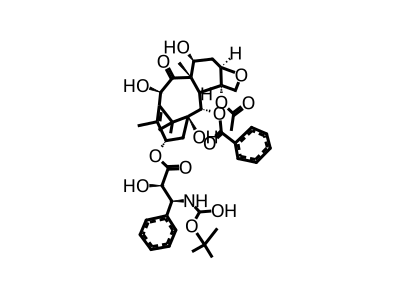 CC(=O)O[C@@]12CO[C@@H]1C[C@H](O)[C@@]1(C)C(=O)[C@H](O)C3=C(C)[C@@H](OC(=O)[C@H](O)[C@@H](NC(O)OC(C)(C)C)c4ccccc4)C[C@@](O)([C@@H](OC(=O)c4ccccc4)[C@H]21)C3(C)C